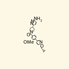 COc1cc(C(=O)N2CCC(c3ccc(N)nn3)CC2)ccc1-c1ccc(OCC2CC2)nc1